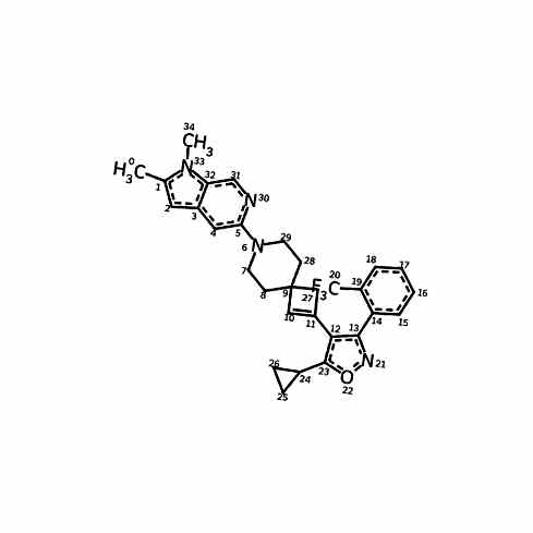 Cc1cc2cc(N3CCC4(C=C(c5c(-c6ccccc6C(F)(F)F)noc5C5CC5)C4)CC3)ncc2n1C